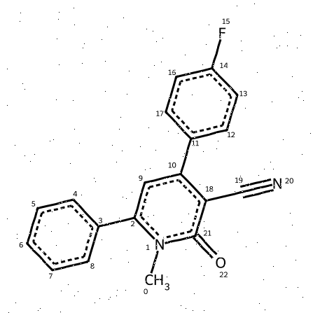 Cn1c(-c2ccccc2)cc(-c2ccc(F)cc2)c(C#N)c1=O